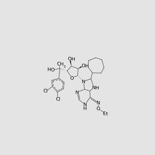 CCO/N=C1\NC=NC2C1NC(C1CCCCCC1)N2[C@@H]1O[C@H](C(C)(O)c2ccc(Cl)c(Cl)c2)[C@@H](O)[C@H]1O